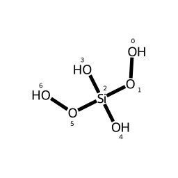 OO[Si](O)(O)OO